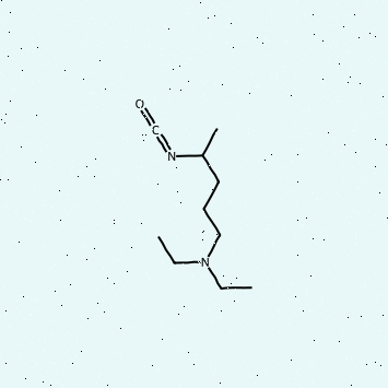 CCN(CC)CCCC(C)N=C=O